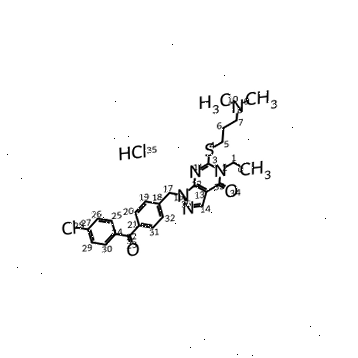 CCn1c(SCCCN(C)C)nc2c(cnn2Cc2ccc(C(=O)c3ccc(Cl)cc3)cc2)c1=O.Cl